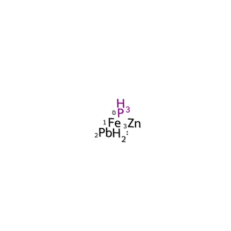 P.[Fe].[PbH2].[Zn]